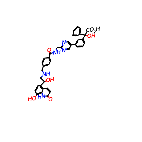 O=C(NCc1ncc(-c2cccc(C(O)(C(=O)O)c3ccccc3)c2)cn1)c1ccc(CNCC(O)c2ccc(O)c3[nH]c(=O)ccc23)cc1